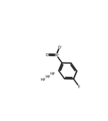 F.F.F.O=[N+]([O-])c1ccc(F)cc1